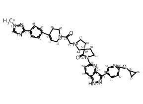 Cn1cnc(-c2ccc(C3=CCN(C(=O)CN4CC[C@]5(CCN(c6ccc7[nH]nc(-c8ccc(OC9CC9)nc8)c7n6)C5=O)C4)CC3)cc2)n1